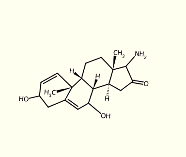 C[C@]12C=CC(O)CC1=CC(O)[C@@H]1[C@H]2CC[C@]2(C)C(N)C(=O)C[C@@H]12